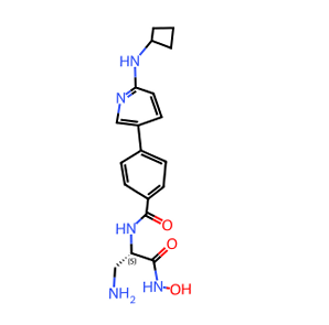 NC[C@H](NC(=O)c1ccc(-c2ccc(NC3CCC3)nc2)cc1)C(=O)NO